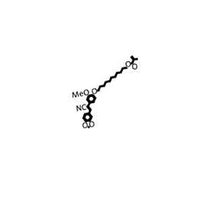 C=C(C)C(=O)OCCCCCCCCCCCOc1ccc(/C(C#N)=C/c2ccc3c(c2)OCO3)cc1OC